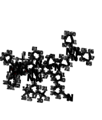 CC(C)(C)c1cc(-c2nc(-c3cc(C(C)(C)C)cc(C(C)(C)C)c3)nc(-c3cc(-c4cc(-c5cccc(C#N)c5)ccc4-n4c5ccccc5c5cc(-c6nc(-c7ccccc7)nc(-c7ccccc7)n6)ccc54)ccc3-n3c4ccccc4c4cc(-c5nc(-c6ccccc6)nc(-c6ccccc6)n5)ccc43)n2)cc(C(C)(C)C)c1